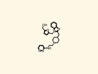 OCc1ccc(Cn2c(CC3CCN(CCNc4cccnn4)CC3)nc3ccccc32)o1